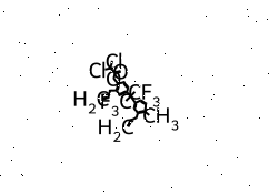 C=CCc1cc(C(c2ccc(OC(=O)C(Cl)Cl)c(CC=C)c2)(C(F)(F)F)C(F)(F)F)ccc1C